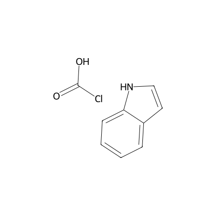 O=C(O)Cl.c1ccc2[nH]ccc2c1